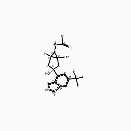 CC(=O)N[C@H]1[C@@H]2C[C@@](O)(c3cc(C(F)(F)F)cc4[nH]ncc34)C[C@@H]21